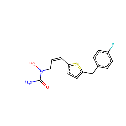 NC(=O)N(O)C/C=C\c1ccc(Cc2ccc(F)cc2)s1